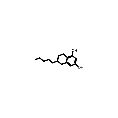 CCCCCC1CCc2c(O)cc(O)cc2C1